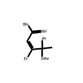 CC/C(=C/C(=N)C(C)(C)C)C(C)(SC)C(C)C